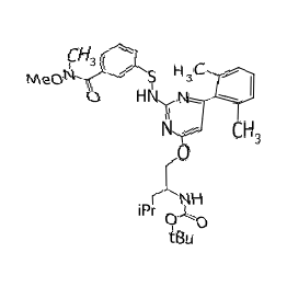 CON(C)C(=O)c1cccc(SNc2nc(OCC(CC(C)C)NC(=O)OC(C)(C)C)cc(-c3c(C)cccc3C)n2)c1